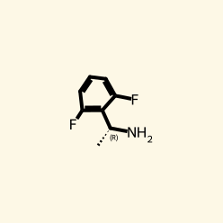 C[C@@H](N)c1c(F)cccc1F